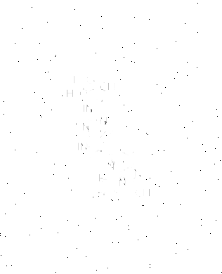 Cc1nc2ccc(-c3c[nH]c4nc(NCC(C)(C)C)ncc34)nc2n1CC(F)F